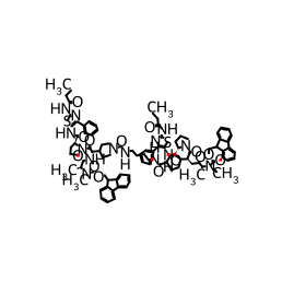 CCCC(=O)Nc1nc(-c2ccccc2)c(NC(=O)[C@@H]2CCCN2C(=O)[C@@H](CC(=O)[C@H](C)N(C)C(=O)OCC2c3ccccc3-c3ccccc32)C2CCC(C(=O)NCCCCNC(=O)N3CCC([C@H](NC(=O)[C@H](C)N(C)C(=O)OCC4c5ccccc5-c5ccccc54)C(=O)N4CCC[C@H]4C(=O)Nc4sc(NC(=O)CCC)nc4-c4ccccc4)CC3)CC2)s1